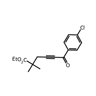 CCOC(=O)C(C)(C)CC#CC(=O)c1ccc(Cl)cc1